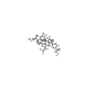 CCOC(=O)c1ccc([S+]([O-])N[C@H](C(=O)N2CC3(C[C@H]2C(=O)NC(CC2CCC2)C(=O)C(N)=O)C[C@H]3C(C)C)C(C)(C)C)cc1